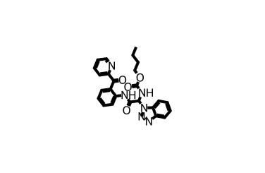 CCCCOC(=O)NC(C(=O)Nc1ccccc1C(=O)c1ccccn1)n1nnc2ccccc21